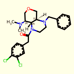 CN(C)[C@H]1COC[C@@H]2[C@@H]1N(C(=O)Cc1ccc(Cl)c(Cl)c1)CCN2Cc1ccccc1